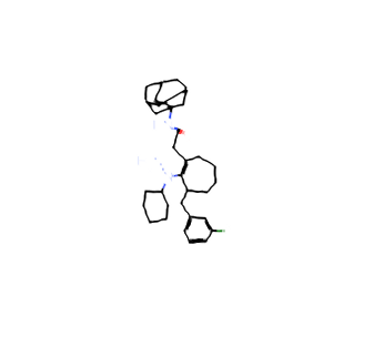 NN(C1=C(CC(=O)NC23CC4CC(CC(C4)C2)C3)CCCCC1Cc1cccc(Cl)c1)C1CCCCC1